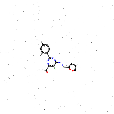 COC(=O)c1nc(-c2ccc(OC)cc2C)nc(NCc2ccco2)c1Cl